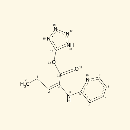 CCC=C(Nc1ccccn1)C(=O)Oc1nnn[nH]1